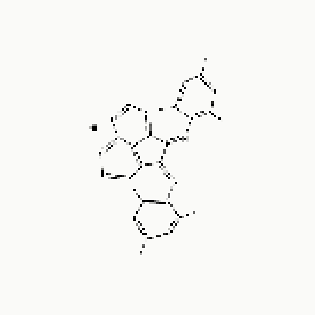 Cc1cc(C)c(N=C2C(=Nc3c(C)cc(C)cc3C)c3cccc4cccc2c34)c(C)c1.[Ni]